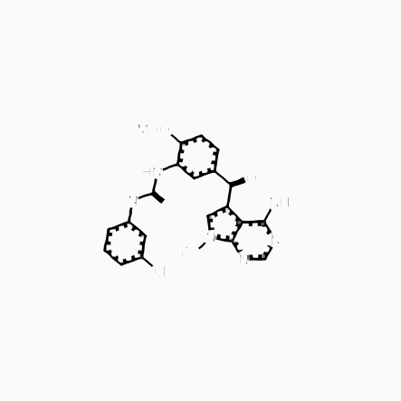 COc1ccc(C(=O)c2cn(C(C)C)c3ncnc(N)c23)cc1NC(=O)Nc1cccc(Cl)c1